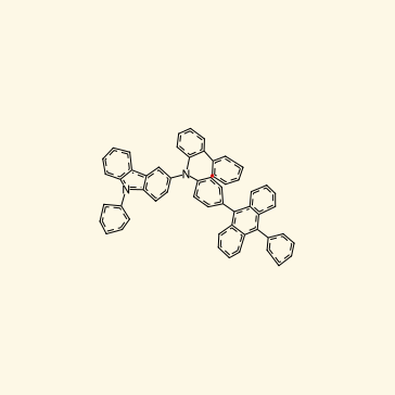 c1ccc(-c2ccccc2N(c2ccc(-c3c4ccccc4c(-c4ccccc4)c4ccccc34)cc2)c2ccc3c(c2)c2ccccc2n3-c2ccccc2)cc1